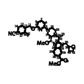 COC[C@H]1CN(c2cccc(OCc3ccc(C#N)cc3F)n2)CCN1[C@@H](C)c1nc2ccc(C(=O)OC)cc2n1C[C@@H]1CCO1